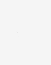 CC(C)(C)c1cc(-c2ccccc2)on1